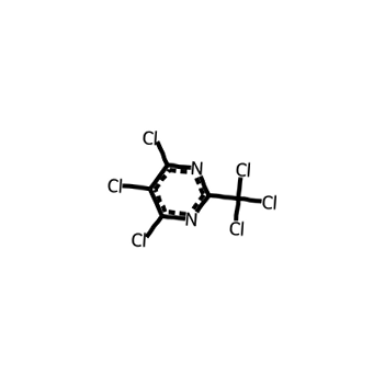 Clc1nc(C(Cl)(Cl)Cl)nc(Cl)c1Cl